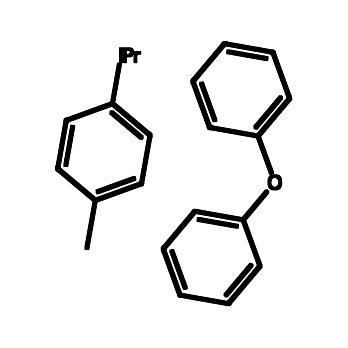 Cc1ccc(C(C)C)cc1.c1ccc(Oc2ccccc2)cc1